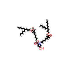 CCCCCC(CCCCC)CCCOC(=O)C(C)(C)CCCCCCOC(=O)[C@@H]1CC(O)CN1CCCCCCC(C)(C)C(=O)OCCCC(CCCCC)CCCCC